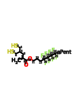 C=C(CC(CS)CS)C(=O)OCCCC(F)(F)C(F)(F)C(F)(F)C(F)(F)CCCCC